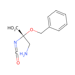 NC[C@](N=C=O)(OCc1ccccc1)C(=O)O